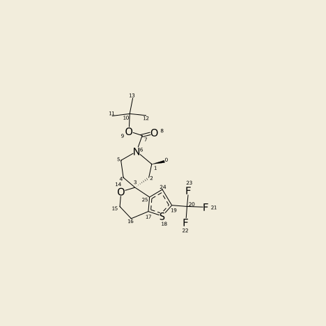 C[C@H]1C[C@@]2(CCN1C(=O)OC(C)(C)C)OCCc1sc(C(F)(F)F)cc12